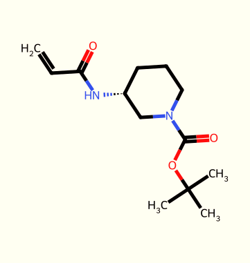 C=CC(=O)N[C@@H]1CCCN(C(=O)OC(C)(C)C)C1